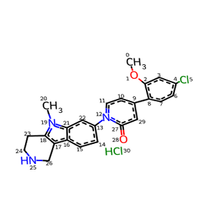 COc1cc(Cl)ccc1-c1ccn(-c2ccc3c4c(n(C)c3c2)CCNC4)c(=O)c1.Cl